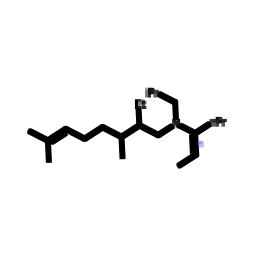 C/C=C(/CCC)N(CC(C)C)CC(CC)C(C)CCC=C(C)C